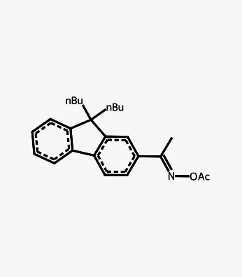 CCCCC1(CCCC)c2ccccc2-c2ccc(/C(C)=N/OC(C)=O)cc21